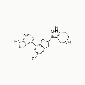 Clc1cc2c(c(-c3ccnc4[nH]ccc34)c1)OC(c1n[nH]c3c1CNCC3)C2